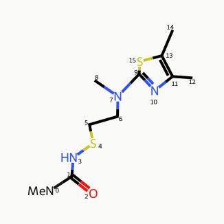 CNC(=O)NSCCN(C)c1nc(C)c(C)s1